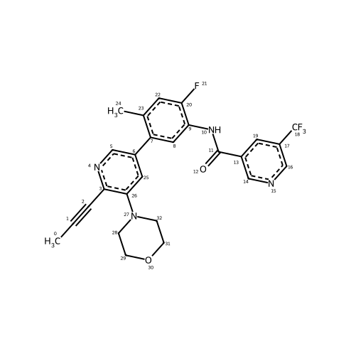 CC#Cc1ncc(-c2cc(NC(=O)c3cncc(C(F)(F)F)c3)c(F)cc2C)cc1N1CCOCC1